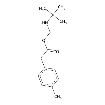 Cc1ccc(CC(=O)OCNC(C)(C)C)cc1